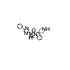 CC(=O)[N+]1(C(=O)Nc2cnc(-c3ccccc3)cn2)CC2(CCNCC2)c2ccccc21